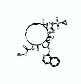 CC(C)(C)OC(=O)N[C@H]1CSCCC/C=C\[C@@H]2C[C@@]2(C(=O)NS(=O)(=O)C2CC2)NC(=O)[C@@H]2CC(Oc3nccc4ccccc34)CN2C1=O